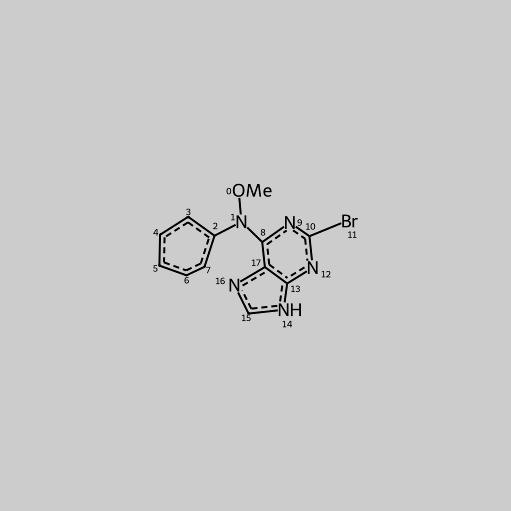 CON(c1ccccc1)c1nc(Br)nc2[nH]cnc12